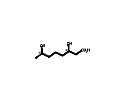 C[C@@H](O)CCC[C@@H](O)CC(=O)O